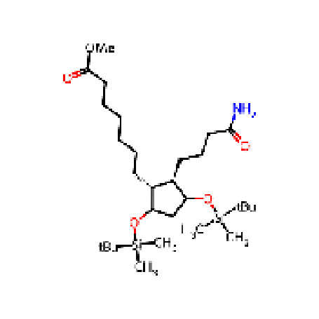 COC(=O)CCCCCC[C@H]1C(O[Si](C)(C)C(C)(C)C)CC(O[Si](C)(C)C(C)(C)C)[C@@H]1CCCC(N)=O